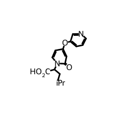 CC(C)CC(C(=O)O)n1ccc(Oc2cccnc2)cc1=O